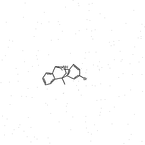 CC12CNC(Cc3ccc(Br)cc31)c1ccccc12